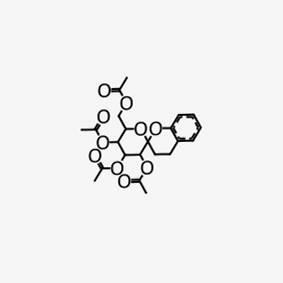 CC(=O)OCC1OC2(CCc3ccccc3O2)C(OC(C)=O)C(OC(C)=O)C1OC(C)=O